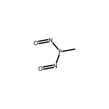 CP(N=O)N=O